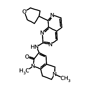 CN1CCc2c(cc(Nc3ncc4ccnc(C5CCOCC5)c4n3)c(=O)n2C)C1